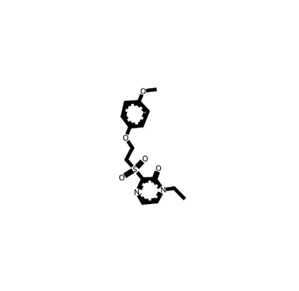 CCn1ccnc(S(=O)(=O)CCOc2ccc(OC)cc2)c1=O